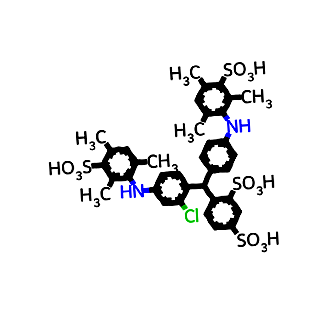 Cc1cc(C)c(S(=O)(=O)O)c(C)c1Nc1ccc(C(c2ccc(Nc3c(C)cc(C)c(S(=O)(=O)O)c3C)cc2Cl)c2ccc(S(=O)(=O)O)cc2S(=O)(=O)O)cc1